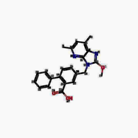 COc1nc2c(C)cc(C)nc2n1Cc1ccc(-c2ccccc2)c(C(=O)O)c1